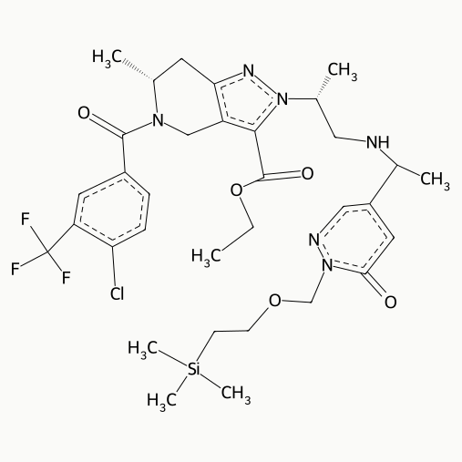 CCOC(=O)c1c2c(nn1[C@H](C)CNC(C)c1cnn(COCC[Si](C)(C)C)c(=O)c1)C[C@@H](C)N(C(=O)c1ccc(Cl)c(C(F)(F)F)c1)C2